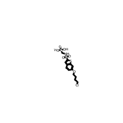 O=P(O)(O)CNS(=O)(=O)c1cc2ccc(OCCCCCl)cc2s1